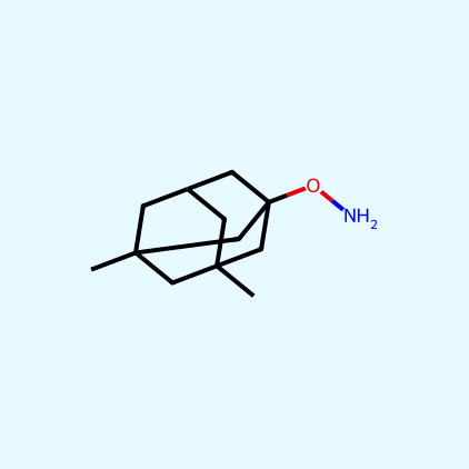 CC12CC3CC(C)(C1)CC(ON)(C3)C2